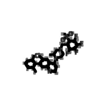 Cc1cccc(C)c1-c1cc2nccc(N3CCN(Cc4c(F)c(F)c(F)c(F)c4S(C)(=O)=O)CC3C)c2cc1Cl